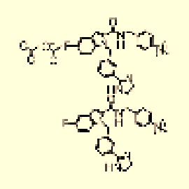 CC(=O)[O-].CC(=O)[O-].C[N+](C)(C)c1ccc(CNC(=O)c2cc3cc(F)ccc3n2Cc2cccc(C3=NCCN3)c2)cc1.C[N+](C)(C)c1ccc(CNC(=O)c2cc3cc(F)ccc3n2Cc2cccc(C3=NCCN3)c2)cc1